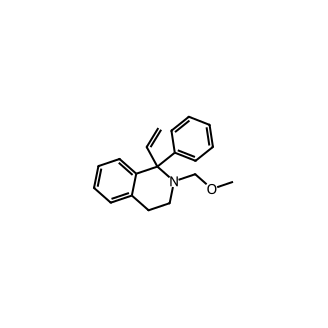 C=CC1(c2ccccc2)c2ccccc2CCN1COC